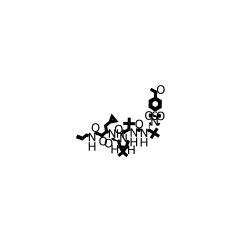 C=CCNC(=O)C(=O)C(CC1CC1)NC(=O)[C@@H]1[C@@H]2[C@H](CN1C(=O)[C@@H](NC(=O)N[C@H](CN(C)S(=O)(=O)c1ccc(C(C)=O)cc1)C(C)(C)C)C(C)(C)C)C2(C)C